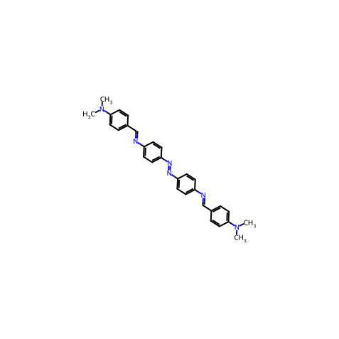 CN(C)c1ccc(C=Nc2ccc(/N=N/c3ccc(N=Cc4ccc(N(C)C)cc4)cc3)cc2)cc1